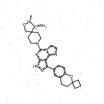 C[C@@H]1OCC2(CCN(c3nc4[nH]nc(-c5ccc6c(c5)CCC5(CCC5)O6)c4c4nccn34)CC2)[C@@H]1N